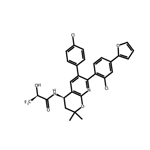 CC1(C)C[C@@H](NC(=O)[C@H](O)C(F)(F)F)c2cc(-c3ccc(Cl)cc3)c(-c3ccc(-c4ccco4)cc3Cl)nc2O1